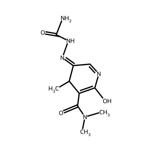 CC1C(=NNC(N)=O)C=NC(O)=C1C(=O)N(C)C